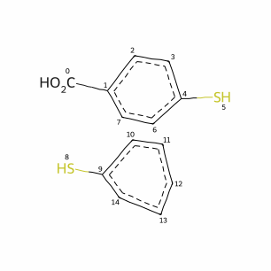 O=C(O)c1ccc(S)cc1.Sc1ccccc1